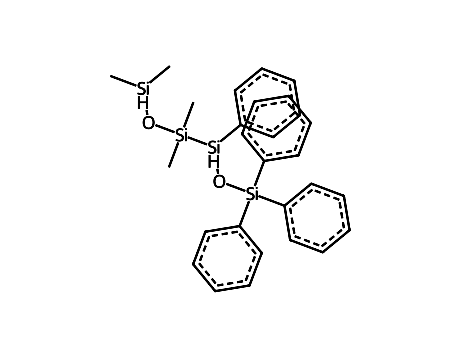 C[SiH](C)O[Si](C)(C)[SiH](O[Si](c1ccccc1)(c1ccccc1)c1ccccc1)c1ccccc1